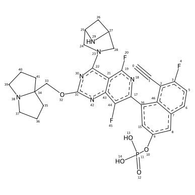 C#Cc1c(F)ccc2cc(OP(=O)(O)O)cc(-c3nc(F)c4c(N5CC6CC(C5)N6)nc(OCC56CCCN5CCC6)nc4c3F)c12